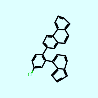 Clc1ccc(-c2ccc3c(ccc4ccccc43)c2)c(-c2cccc3ccccc23)c1